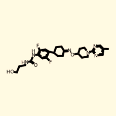 Cc1cnc(N2CCC(ON=C3CCC(c4cc(F)c(NC(=O)NCCCO)cc4F)CC3)CC2)nc1